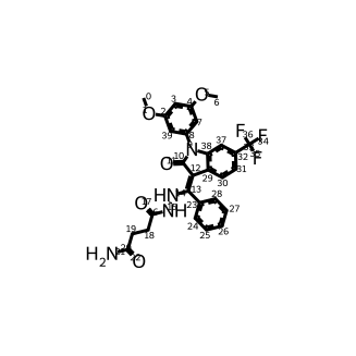 COc1cc(OC)cc(N2C(=O)/C(=C(\NNC(=O)CCC(N)=O)c3ccccc3)c3ccc(C(F)(F)F)cc32)c1